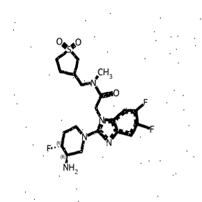 CN(CC1CCS(=O)(=O)C1)C(=O)Cn1c(N2CC[C@@H](F)[C@H](N)C2)nc2cc(F)c(F)cc21